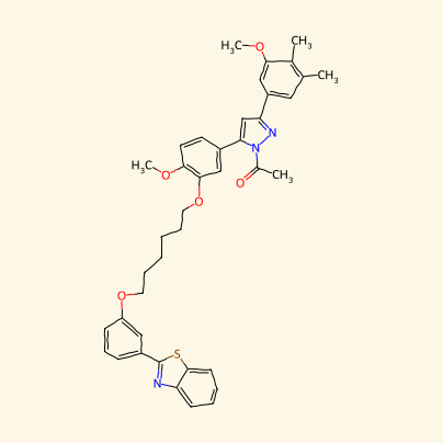 COc1ccc(-c2cc(-c3cc(C)c(C)c(OC)c3)nn2C(C)=O)cc1OCCCCCCOc1cccc(-c2nc3ccccc3s2)c1